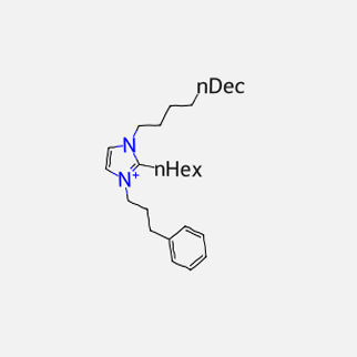 CCCCCCCCCCCCCCn1cc[n+](CCCc2ccccc2)c1CCCCCC